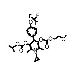 COCCOC(=O)OC1=C(C)N(C2CC2)C(C)=C(OC(=O)OC(C)C)C1c1ccc(OC(F)(F)F)cc1